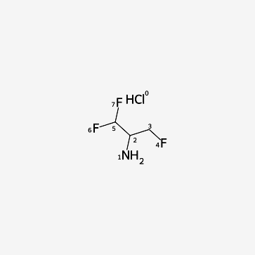 Cl.NC(CF)C(F)F